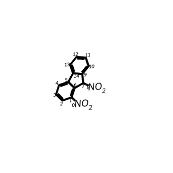 O=[N+]([O-])c1cccc2c1C([N+](=O)[O-])c1ccccc1-2